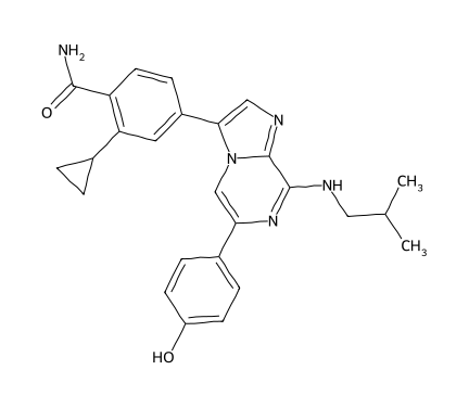 CC(C)CNc1nc(-c2ccc(O)cc2)cn2c(-c3ccc(C(N)=O)c(C4CC4)c3)cnc12